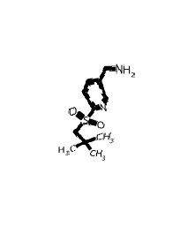 CC(C)(C)CS(=O)(=O)c1ccc(CN)cn1